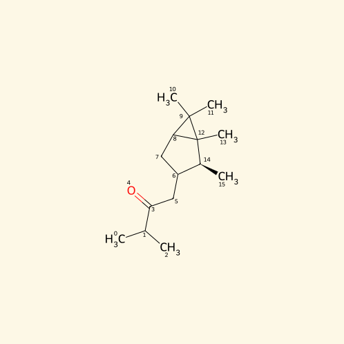 CC(C)C(=O)CC1CC2C(C)(C)C2(C)[C@H]1C